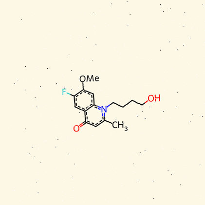 COc1cc2c(cc1F)c(=O)cc(C)n2CCCCO